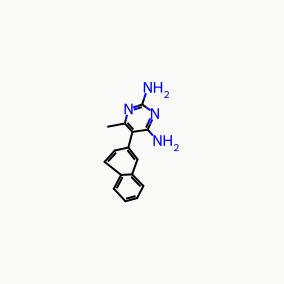 Cc1nc(N)nc(N)c1-c1ccc2ccccc2c1